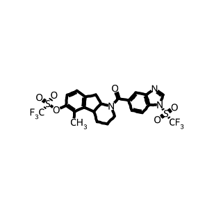 Cc1c(OS(=O)(=O)C(F)(F)F)ccc2c1C1CCCN(C(=O)c3ccc4c(c3)ncn4S(=O)(=O)C(F)(F)F)C1C2